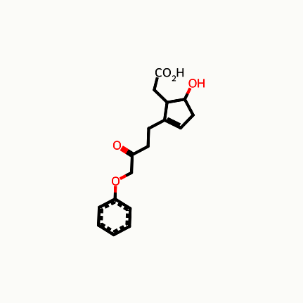 O=C(O)CC1C(CCC(=O)COc2ccccc2)=CCC1O